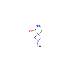 CCC(C)N1CC(F)(C(N)=O)C1